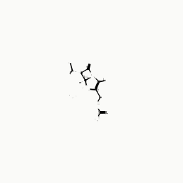 CC(O)[C@H]1C(=O)N2C(C(=O)[O-])=C(COC(N)=O)S[C@H]12.[Na+]